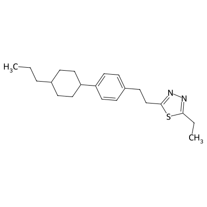 CCCC1CCC(c2ccc(CCc3nnc(CC)s3)cc2)CC1